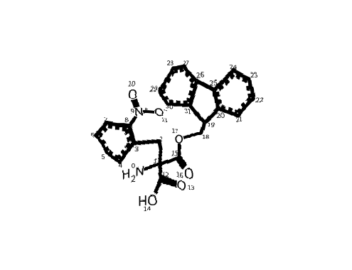 NC(Cc1ccccc1[N+](=O)[O-])(C(=O)O)C(=O)OCC1c2ccccc2-c2ccccc21